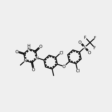 Cc1cc(-n2c(=O)[nH]c(=O)n(C)c2=O)cc(Cl)c1Oc1ccc(S(=O)(=O)C(F)(F)F)cc1Cl